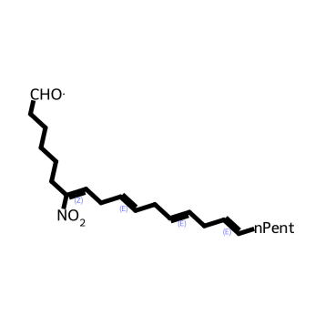 CCCCC/C=C/C/C=C/C/C=C/C/C=C(/CCCCC[C]=O)[N+](=O)[O-]